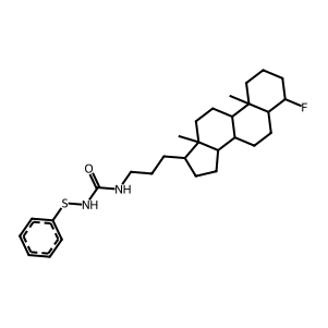 CC12CCC3C(CCC4C(F)CCCC43C)C1CCC2CCCNC(=O)NSc1ccccc1